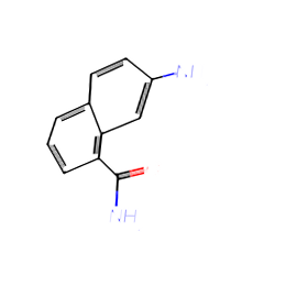 NC(=O)c1cccc2ccc(N)cc12